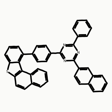 c1ccc(-c2nc(-c3ccc(-c4cccc5sc6ccc7ccccc7c6c45)cc3)nc(-c3ccc4ccccc4c3)n2)cc1